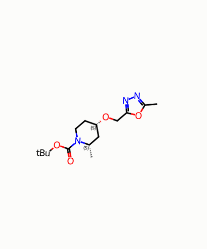 Cc1nnc(CO[C@H]2CCN(C(=O)OC(C)(C)C)[C@@H](C)C2)o1